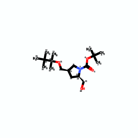 CC(C)(C)OC(=O)N1C[C@H](CO[Si](C)(C)C(C)(C)C)C[C@H]1CO